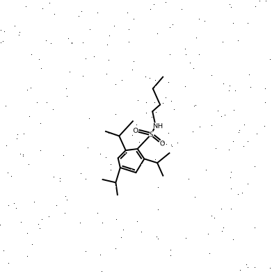 CCCCNS(=O)(=O)c1c(C(C)C)cc(C(C)C)cc1C(C)C